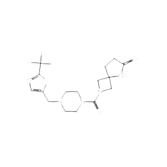 O=C1CCC2(CN(C(=O)N3CCN(Cc4cnc(C(F)(F)F)s4)CC3)C2)N1